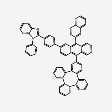 c1ccc(-n2c(-c3ccc(-c4ccc5c(-c6ccc7c(c6)-c6ccccc6-c6ccccc6-c6ccccc6-7)c6ccccc6c(-c6ccc7ccccc7c6)c5c4)cc3)nc3ccccc32)cc1